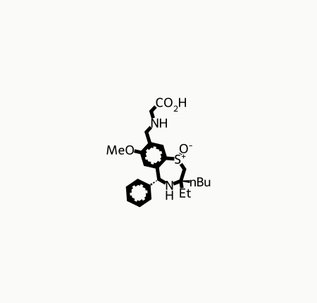 CCCC[C@]1(CC)C[S+]([O-])c2cc(CNCC(=O)O)c(OC)cc2[C@@H](c2ccccc2)N1